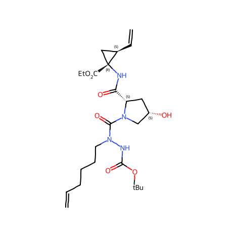 C=CCCCCN(NC(=O)OC(C)(C)C)C(=O)N1C[C@@H](O)C[C@H]1C(=O)N[C@]1(C(=O)OCC)C[C@H]1C=C